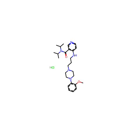 COc1ccccc1N1CCN(CCCNc2ccncc2C(=O)N(C(C)C)C(C)C)CC1.Cl